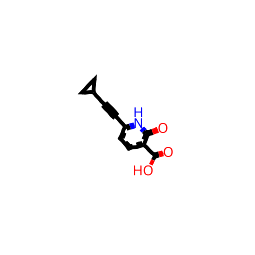 O=C(O)c1ccc(C#CC2CC2)[nH]c1=O